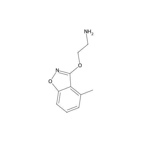 Cc1cccc2onc(OCCN)c12